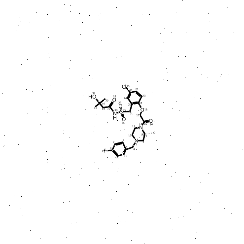 C[C@@H]1CN(Cc2ccc(F)cc2)CCN1C(=O)COc1ccc(Cl)cc1CS(=O)(=O)NC(=O)CC(C)(C)O